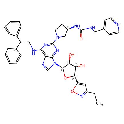 CCc1cc([C@H]2O[C@@H](n3cnc4c(NCC(c5ccccc5)c5ccccc5)nc(N5CC[C@@H](NC(=O)NCc6ccncc6)C5)nc43)[C@@H](O)[C@@H]2O)on1